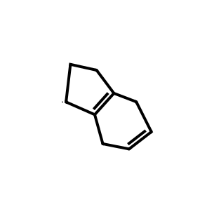 [CH]1CCC2=C1CC=CC2